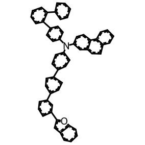 c1ccc(-c2ccccc2-c2ccc(N(c3ccc(-c4ccc(-c5cccc(-c6cc7ccccc7o6)c5)cc4)cc3)c3ccc4c(ccc5ccccc54)c3)cc2)cc1